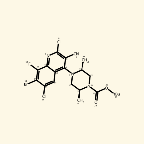 C[C@H]1CN(c2c(C#N)c(Cl)nc3c(F)c(Br)c(Cl)cc23)[C@@H](C)CN1C(=O)OC(C)(C)C